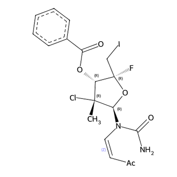 CC(=O)/C=C\N(C(N)=O)[C@@H]1O[C@](F)(CI)[C@@H](OC(=O)c2ccccc2)[C@@]1(C)Cl